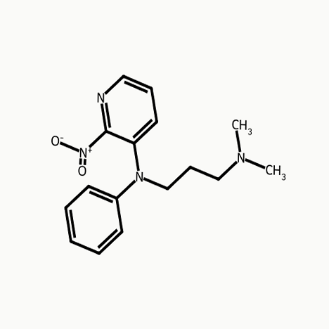 CN(C)CCCN(c1ccccc1)c1cccnc1[N+](=O)[O-]